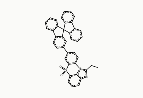 CCc1nc2cccc3c2n1-c1ccc(-c2ccc4c(c2)C2(c5ccccc5-c5ccccc52)c2ccccc2-4)cc1S3(=O)=O